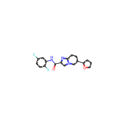 O=C(Nc1cc(F)ccc1F)c1cn2cc(-c3ccco3)ccc2n1